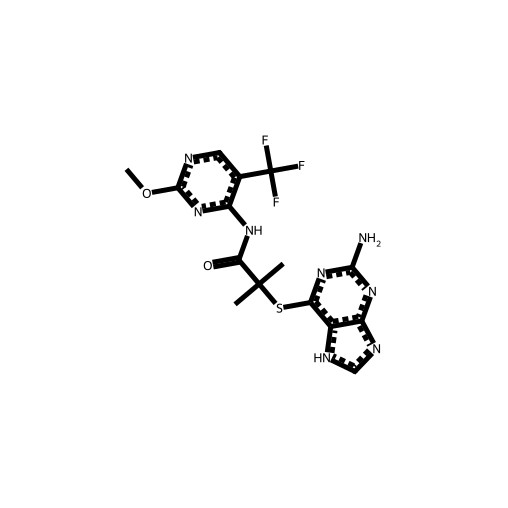 COc1ncc(C(F)(F)F)c(NC(=O)C(C)(C)Sc2nc(N)nc3nc[nH]c23)n1